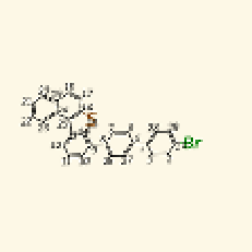 Brc1ccc(-c2ccc(-c3cccc4c3sc3ccc5ccccc5c34)cc2)cc1